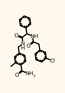 Cc1cc(CNC(=O)C(NC(=O)Cc2cccc(Cl)c2)c2ccccc2)ccc1C(N)=O